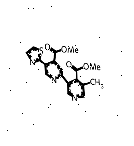 COC(=O)c1cc(-c2cncc(C)c2C(=O)OC)ncc1-c1nccs1